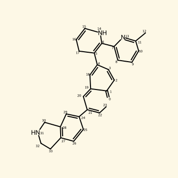 C=c1ccc(C2=C(c3cccc(C)n3)NC=CC2)c/c1=C/C(=C\C)c1ccc2c(c1)CNCC2